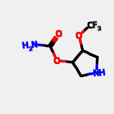 NC(=O)OC1CNCC1OC(F)(F)F